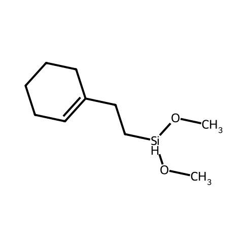 CO[SiH](CCC1=CCCCC1)OC